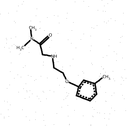 Cc1cccc(OCCNCC(=O)N(C)C)c1